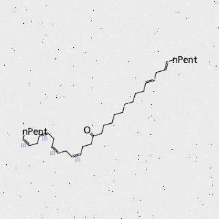 CCCCCC=CCC=CCCCCCCCCCC(=O)CC/C=C\C/C=C\C/C=C\C/C=C\CCCCC